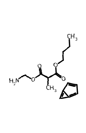 CCCCOC(=O)C(C)C(=O)OCN.c1cc2cc-2c1